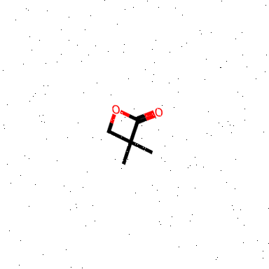 CC1(C)COC1=O